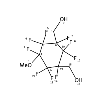 COC1(F)C(F)(F)C(F)(CO)C(F)(F)C(F)(CO)C1(F)F